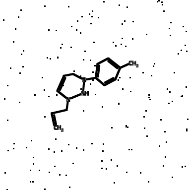 C=CCN1C=CCN(c2ccc(C)cc2)N1